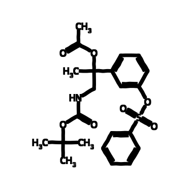 CC(=O)OC(C)(CNC(=O)OC(C)(C)C)c1cccc(OS(=O)(=O)c2ccccc2)c1